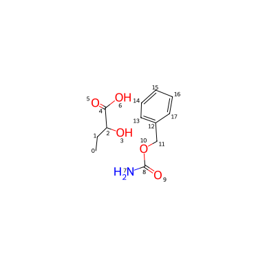 CCC(O)C(=O)O.NC(=O)OCc1ccccc1